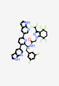 O=C(Cn1nc(C(F)F)c2c1C(F)(F)CCC2(F)F)N[C@@H](Cc1cc(F)cc(F)c1)c1nc(-c2cnc3[nH]ccc3c2)ccc1-c1cnc2[nH]ccc2c1